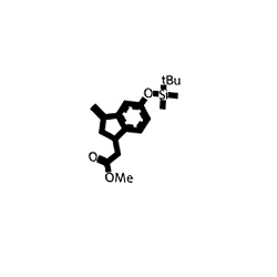 C=C1CC(CC(=O)OC)c2ccc(O[Si](C)(C)C(C)(C)C)cc21